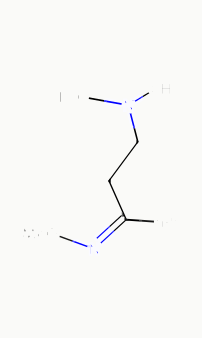 CCC/C(CCN(C)C)=N/OC